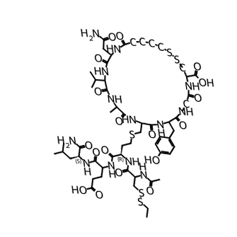 CCSSCC(NC(C)=O)C(=O)N[C@H](CCSCC1NC(=O)C(C)NC(=O)C(C(C)C)NC(=O)C(CC(N)=O)NC(=O)CCCCSSCC(C(=O)O)NC(=O)CNC(=O)C(Cc2ccc(O)cc2)NC1=O)C(=O)NC(CCC(=O)O)C(=O)N[C@@H](CC(C)C)C(N)=O